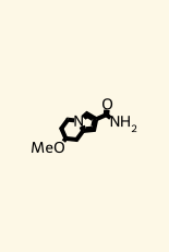 COC1CCn2cc(C(N)=O)cc2C1